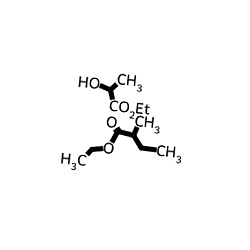 CCOC(=O)C(C)CC.CCOC(=O)C(C)O